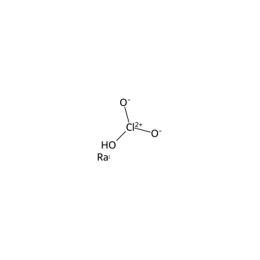 [O-][Cl+2]([O-])O.[Ra]